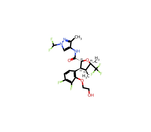 Cc1nn(C(F)F)cc1NC(=O)[C@@H]1O[C@@](C)(C(F)(F)F)[C@@H](C)[C@H]1c1ccc(F)c(F)c1OCCO